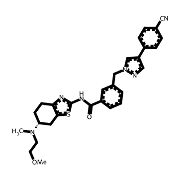 COCCN(C)[C@@H]1CCc2nc(NC(=O)c3cccc(Cn4cc(-c5ccc(C#N)cc5)cn4)c3)sc2C1